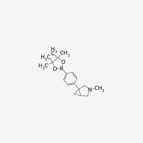 CN1CC2CC2(c2ccc(B3OC(C)(C)C(C)(C)O3)cc2)C1